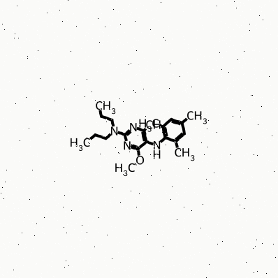 CCCN(CCC)c1nc(C)c(Nc2c(C)cc(C)cc2C)c(OC)n1